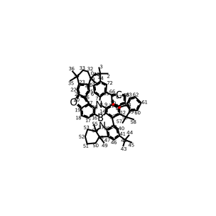 CC(C)(C)c1ccc(N2c3cc4c(c5c3B(c3ccc6oc7cc8c(cc7c6c32)C(C)(C)CCC8(C)C)N2c3c-5cc(C(C)(C)C)cc3C3(C)CCCCC23C)C(C)(C)c2ccccc2-4)c(-c2ccccc2)c1